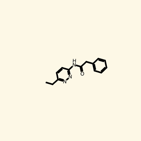 CCc1ccc(NC(=O)Cc2ccccc2)nn1